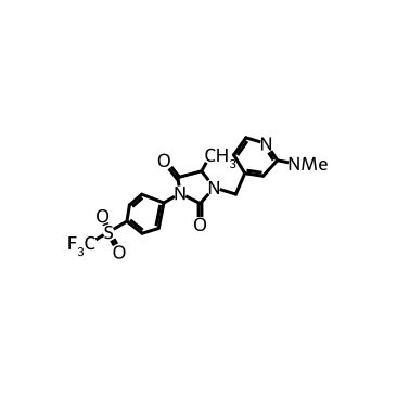 CNc1cc(CN2C(=O)N(c3ccc(S(=O)(=O)C(F)(F)F)cc3)C(=O)C2C)ccn1